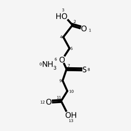 N.O=C(O)CCOC(=S)CCC(=O)O